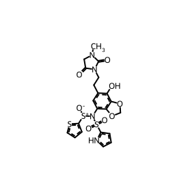 CN1CC(=O)N(CCc2cc(N([S+]([O-])c3cccs3)S(=O)(=O)c3ccc[nH]3)c3c(c2O)OCO3)C1=O